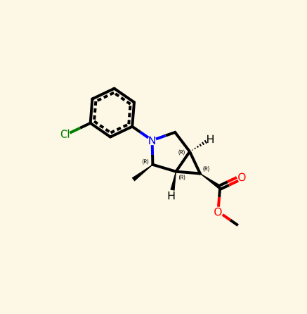 COC(=O)[C@@H]1[C@@H]2CN(c3cccc(Cl)c3)[C@H](C)[C@H]21